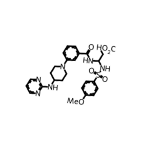 COc1ccc(S(=O)(=O)NC(CC(=O)O)NC(=O)c2cccc(N3CCC(Nc4ncccn4)CC3)c2)cc1